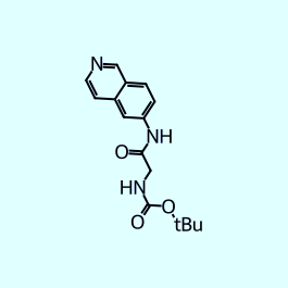 CC(C)(C)OC(=O)NCC(=O)Nc1ccc2cnccc2c1